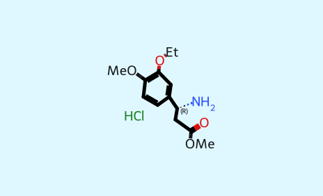 CCOc1cc([C@H](N)CC(=O)OC)ccc1OC.Cl